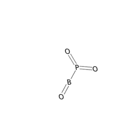 O=BP(=O)=O